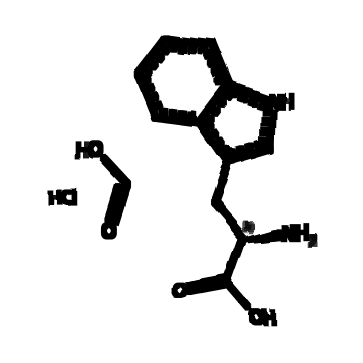 Cl.N[C@H](Cc1c[nH]c2ccccc12)C(=O)O.O=CO